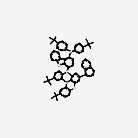 CC(C)(C)c1ccc(N(c2ccc(C(C)(C)C)cc2)c2ccc(N3c4ccc(C(C)(C)C)cc4B4c5cc(C(C)(C)C)ccc5Oc5cc(-c6cccc7ccccc67)cc3c54)c3oc4ccccc4c23)cc1